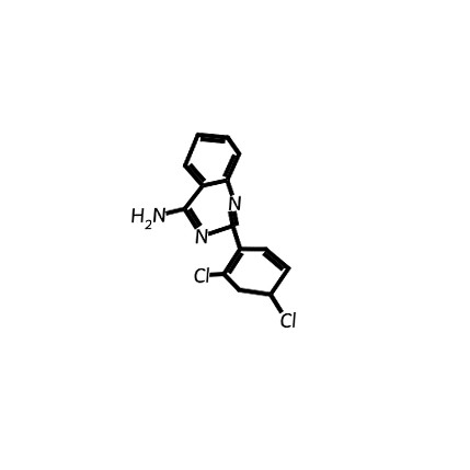 Nc1nc(C2=C(Cl)CC(Cl)C=C2)nc2ccccc12